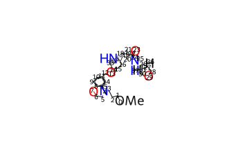 COCCCN1CCOc2ccc(CO[C@@H]3CC[C@@H](CC(C)(C)C(=O)NC[C@@H]4[C@H]5COC[C@@H]45)NC3)cc21